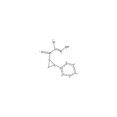 CCC(=NO)C(=O)C1CC1c1ccccc1